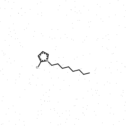 CCCCCCCCn1cccc1Cl